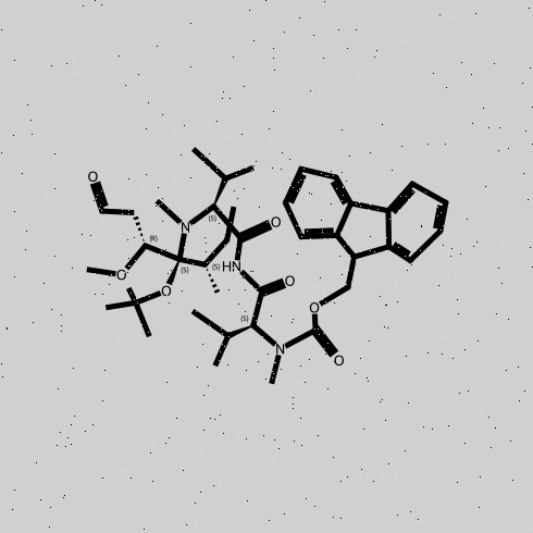 CC[C@H](C)[C@](OC(C)(C)C)([C@@H](CC=O)OC)N(C)[C@H](C(=O)NC(=O)[C@H](C(C)C)N(C)C(=O)OCC1c2ccccc2-c2ccccc21)C(C)C